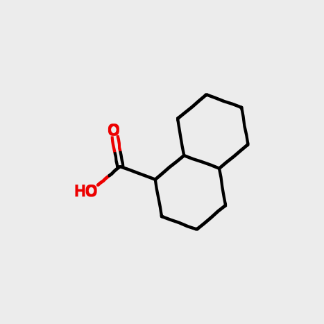 O=C(O)C1CCCC2CCCCC21